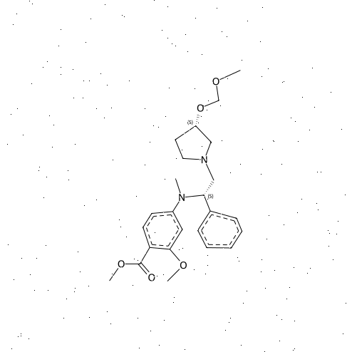 COCO[C@H]1CCN(C[C@H](c2ccccc2)N(C)c2ccc(C(=O)OC)c(OC)c2)C1